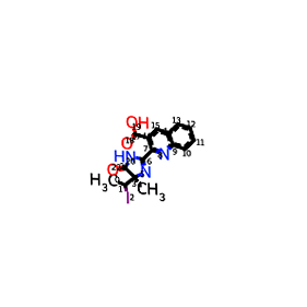 CC(I)C1(C)N=C(c2nc3ccccc3cc2C(=O)O)NC1=O